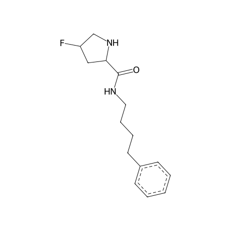 O=C(NCCCCc1ccccc1)C1CC(F)CN1